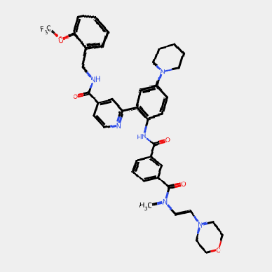 CN(CCN1CCOCC1)C(=O)c1cccc(C(=O)Nc2ccc(N3CCCCC3)cc2-c2cc(C(=O)NCc3ccccc3OC(F)(F)F)ccn2)c1